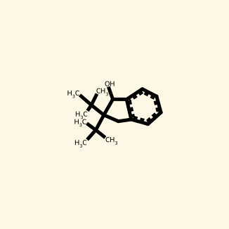 CC(C)(C)C1(C(C)(C)C)Cc2ccccc2C1O